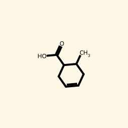 CC1CC=CCC1C(=O)O